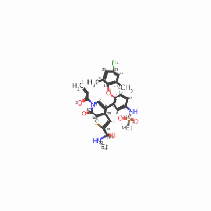 C=CC(=O)n1cc(-c2cc(NS(=O)(=O)CC)ccc2Oc2c(C)cc(F)cc2C)c2cc(C(=O)NCC)sc2c1=O